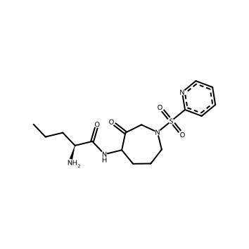 CCC[C@H](N)C(=O)NC1CCCN(S(=O)(=O)c2ccccn2)CC1=O